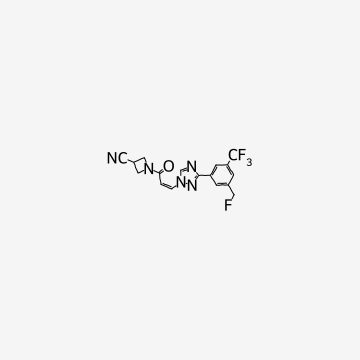 N#CC1CN(C(=O)/C=C\n2cnc(-c3cc(CF)cc(C(F)(F)F)c3)n2)C1